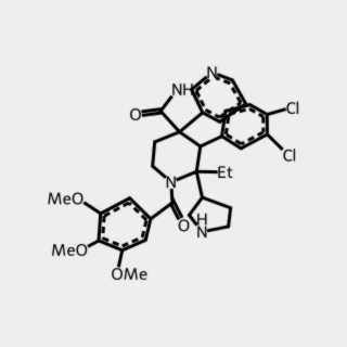 CCC1(C2CCNC2)C(c2ccc(Cl)c(Cl)c2)C(C(N)=O)(c2cccnc2)CCN1C(=O)c1cc(OC)c(OC)c(OC)c1